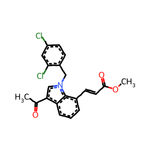 COC(=O)C=Cc1cccc2c(C(C)=O)cn(Cc3ccc(Cl)cc3Cl)c12